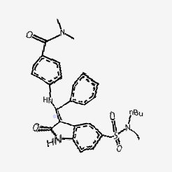 CCCCN(C)S(=O)(=O)c1ccc2c(c1)/C(=C(/Nc1ccc(C(=O)N(C)C)cc1)c1ccccc1)C(=O)N2